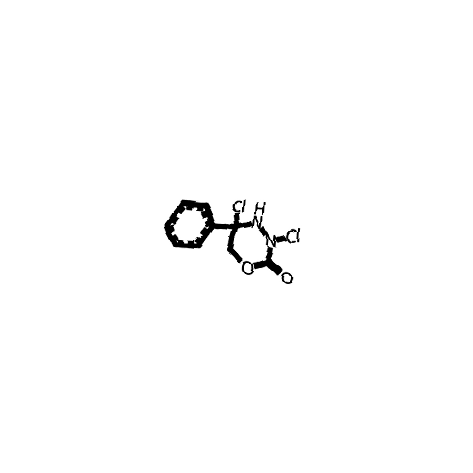 O=C1OCC(Cl)(c2ccccc2)NN1Cl